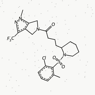 Cc1cccc(Cl)c1S(=O)(=O)N1CCCCC1CCCC(=O)N1Cc2c(C(F)(F)F)nn(C)c2C1